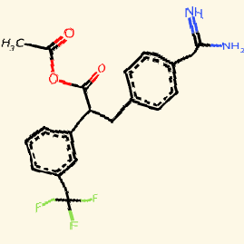 CC(=O)OC(=O)C(Cc1ccc(C(=N)N)cc1)c1cccc(C(F)(F)F)c1